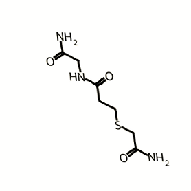 NC(=O)CNC(=O)CCSCC(N)=O